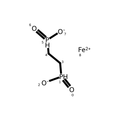 O=[PH]([O-])CC[PH](=O)[O-].[Fe+2]